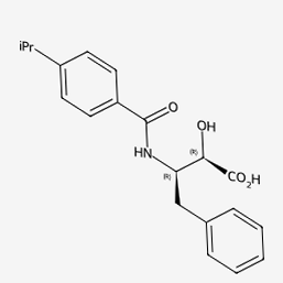 CC(C)c1ccc(C(=O)N[C@H](Cc2ccccc2)[C@@H](O)C(=O)O)cc1